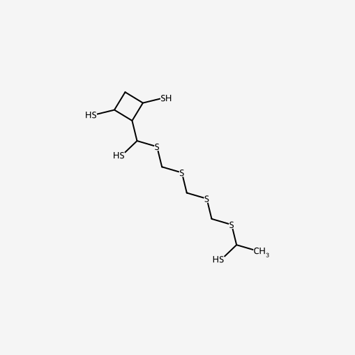 CC(S)SCSCSCSC(S)C1C(S)CC1S